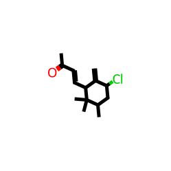 C=C1C(Cl)CC(C)C(C)(C)C1/C=C/C(C)=O